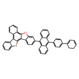 C1=CCCC(c2ccc(-c3c4ccccc4c(-c4ccc5c(c4)oc4c6ccccc6c6c7ccccc7sc6c54)c4ccccc34)cc2)=C1